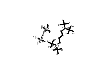 CC(C)(C)P(CCCCP(C(C)(C)C)C(C)(C)C)C(C)(C)C.F[B-](F)(F)F.F[B-](F)(F)F